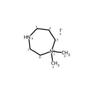 C[N+]1(C)CCCNCC1.[I-]